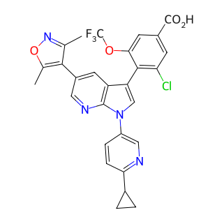 Cc1noc(C)c1-c1cnc2c(c1)c(-c1c(Cl)cc(C(=O)O)cc1OC(F)(F)F)cn2-c1ccc(C2CC2)nc1